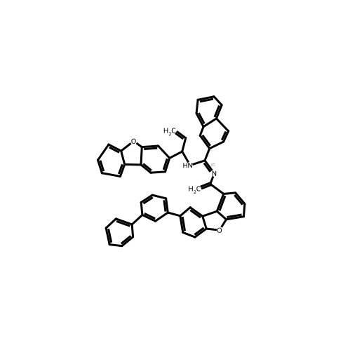 C=CC(N/C(=N\C(=C)c1cccc2oc3ccc(-c4cccc(-c5ccccc5)c4)cc3c12)c1ccc2ccccc2c1)c1ccc2c(c1)oc1ccccc12